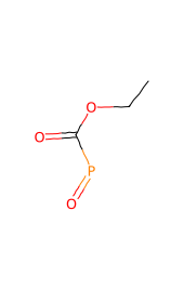 CCOC(=O)P=O